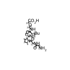 CC[C@H](C)[C@H](NC(=O)[C@@H]1CCCN1C(=O)CNC(=O)CN)C(=O)NCOCC(=O)O